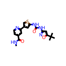 CNC(=O)c1ccnc(-c2csc(NC(=O)Nc3cc(C(C)(C)C)on3)c2)c1